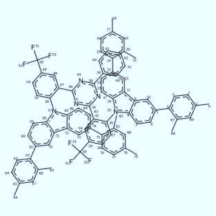 Cc1ccc(-c2ccc3c(c2)c2cc(-c4ccc(C)cc4C)ccc2n3-c2ccc(C(F)(F)F)cc2-c2nc(-c3ccccc3)nc(-c3cc(C(F)(F)F)ccc3-n3c4ccc(-c5ccc(C)cc5C)cc4c4cc(-c5ccc(C)cc5C)ccc43)n2)c(C)c1